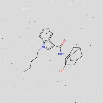 CCCCCn1cc(C(=O)NC23CC4CC(CC(O)(C4)C2)C3)c2ccccc21